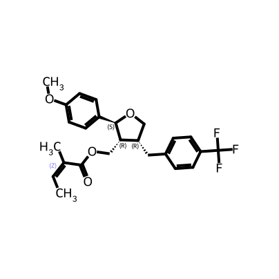 C/C=C(/C)C(=O)OC[C@H]1[C@@H](Cc2ccc(C(F)(F)F)cc2)CO[C@@H]1c1ccc(OC)cc1